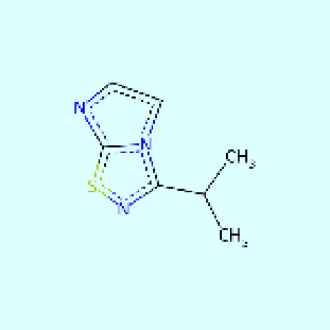 CC(C)c1nsc2nccn12